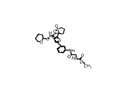 CCOC(=O)NCC(=O)Nc1cccc(-c2ccc([C@@]3(CC(=O)NOC4CCCCO4)CCCCS3(=O)=O)s2)c1